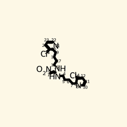 O=[N+]([O-])C=C(NCCCCc1ncccc1Cl)NCCCCc1ncccc1Cl